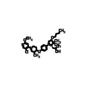 CCCCO[C@H]1CN(c2ccc(OC3CCN(c4cc(OC)ncc4Cl)CC3C)cc2)[C@@H](CC(=O)O)C1(C)C